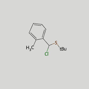 Cc1ccccc1C(Cl)SC(C)(C)C